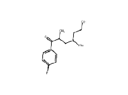 CC(CN(CCO)C(C)(C)C)C(=O)c1ccc(F)cc1